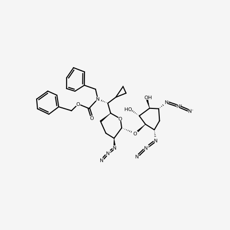 [N-]=[N+]=N[C@H]1CC[C@@H]([C@@H](C2CC2)N(Cc2ccccc2)C(=O)OCc2ccccc2)O[C@@H]1O[C@H]1[C@H](O)[C@@H](O)[C@H](N=[N+]=[N-])C[C@@H]1N=[N+]=[N-]